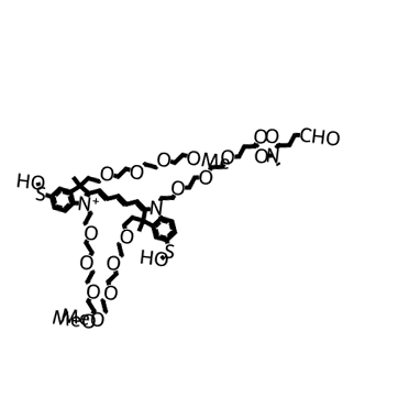 COCCOCCOCCOCC[N+]1=C(/C=C/C=C/C=C2/N(CCOCCOCCOCCC(=O)ON(C)C(=O)CCC=O)c3ccc(SO)cc3C2(C)CCOCCOCCOCCOC)C(C)(CCOCCOCCOCCOC)c2cc(SO)ccc21